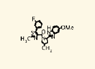 C=C1CC(c2nc3cc(OC)ccc3[nH]2)N(C(=O)c2nc(C)sc2-c2cccc(F)c2)C1